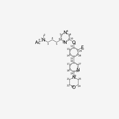 CC(=O)N(C)CCCc1cncc(Oc2ccc(-c3ccc(N4CCOCC4)nc3)cc2F)n1